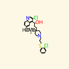 COc1ccc2ncc(Cl)c(C(O)CCC3(C(=O)O)CCN(CCCSc4ccccc4Cl)CC3)c2c1